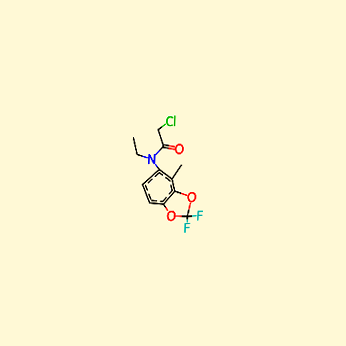 CCN(C(=O)CCl)c1ccc2c(c1C)OC(F)(F)O2